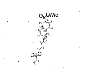 C=CC(=O)OCCCOc1ccc2cc(C(=O)OC)ccc2c1